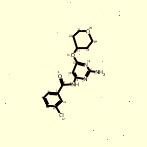 Nc1nc(NC(=O)c2cccc(Cl)c2)cc(OC2CCOCC2)n1